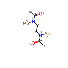 CC(=O)N(S)CCN(S)C(C)=O